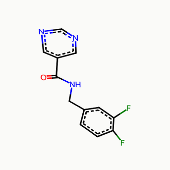 O=C(NCc1ccc(F)c(F)c1)c1cncnc1